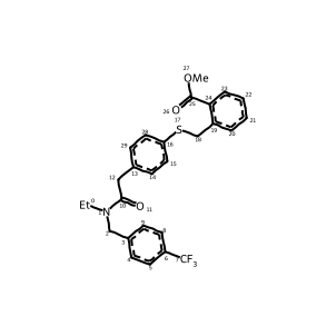 CCN(Cc1ccc(C(F)(F)F)cc1)C(=O)Cc1ccc(SCc2ccccc2C(=O)OC)cc1